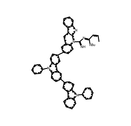 C/C=C\C(CCCC)=N\C(=N)n1c2nc3ccccc3c-2cc2cc(-c3ccc4c(c3)c3cc(-c5ccc6c(c5)c5ccccc5n6-c5ccccc5)ccc3n4-c3ccccc3)ccc21